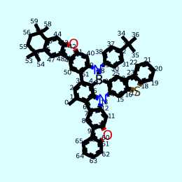 Cc1cc2c3c4c1c1cc5c(cc1n4-c1cc4sc6ccccc6c4cc1B3N(c1ccc(C(C)(C)C)cc1)c1cc3oc4cc6c(cc4c3cc1-2)C(C)(C)CCC6(C)C)oc1ccccc15